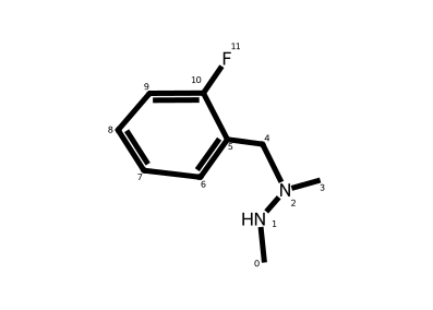 CNN(C)Cc1ccccc1F